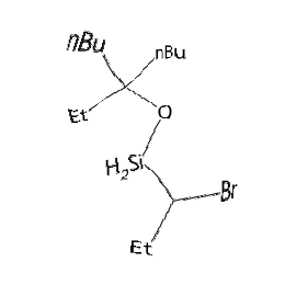 CCCCC(CC)(CCCC)O[SiH2]C(Br)CC